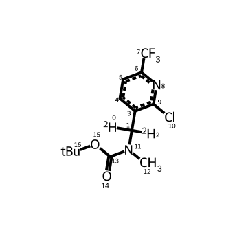 [2H]C([2H])(c1ccc(C(F)(F)F)nc1Cl)N(C)C(=O)OC(C)(C)C